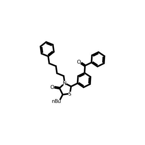 CCCCC1SC(c2cccc(C(=O)c3ccccc3)c2)N(CCCCc2ccccc2)C1=O